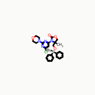 CC1(CO[Si](c2ccccc2)(c2ccccc2)C(C)(C)C)COC(=O)N1c1cc(Cl)nc(N2CCOCC2)n1